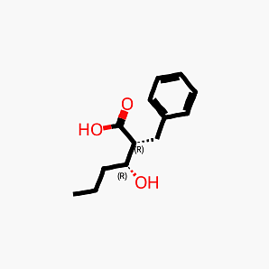 CCC[C@@H](O)[C@@H](Cc1ccccc1)C(=O)O